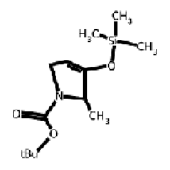 CC1C(O[Si](C)(C)C)=CCN1C(=O)OC(C)(C)C